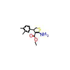 CCOC(=O)C1=C(N)SCC1c1ccc(C)c(C)c1